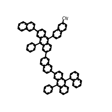 N#Cc1ccc2ccc(-c3c4ccc(-c5ccc6ccccc6c5)cc4c(-c4ccccc4)c4cc(-c5ccc6ccc(-c7ccc8c(-c9cccc%10ccccc9%10)c9ccccc9c(-c9ccccc9)c8c7)cc6c5)ccc34)cc2c1